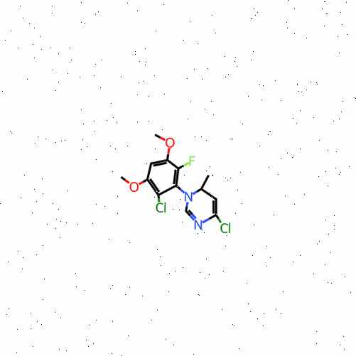 [CH2]C1C=C(Cl)N=CN1c1c(F)c(OC)cc(OC)c1Cl